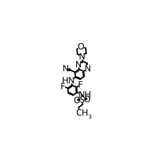 CCCS(=O)(=O)Nc1ccc(F)c(Nc2ccc3ncc(N4CCOCC4)nc3c2C#N)c1F